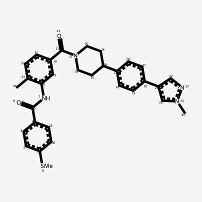 CSc1ccc(C(=O)Nc2cc(C(=O)N3CCC(c4ccc(-c5cnn(C)c5)cc4)CC3)ccc2C)cc1